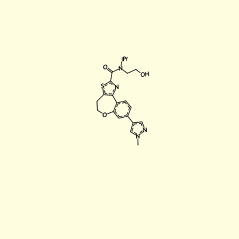 CC(C)N(CCO)C(=O)c1nc2c(s1)CCOc1cc(-c3cnn(C)c3)ccc1-2